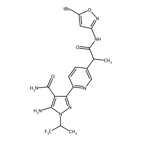 CC(C(=O)Nc1cc(C(C)(C)C)on1)c1ccc(-c2nn(C(C)C(F)(F)F)c(N)c2C(N)=O)nc1